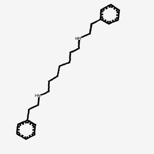 c1ccc(CCNCCCCCCCNCCc2ccccc2)cc1